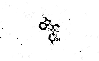 C=CC(n1cc(Cl)c2ccccc21)S(=O)(=O)c1ccc(=O)[nH]n1